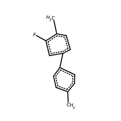 Cc1ccc(-c2ccc(C)c(F)c2)cc1